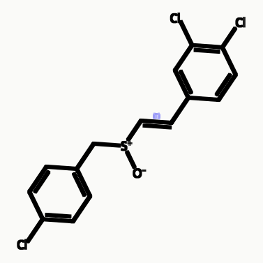 [O-][S+](/C=C/c1ccc(Cl)c(Cl)c1)Cc1ccc(Cl)cc1